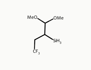 COC(OC)C([SiH3])CC(F)(F)F